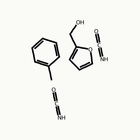 Cc1ccccc1.N=C=O.N=C=O.OCc1ccco1